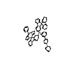 c1ccc(-c2ccc(-c3cccc(N(c4ccc5c(c4)C(c4ccccc4)(c4ccccc4)c4ccccc4-5)c4ccc5c(c4)C4(c6ccccc6-5)c5ccccc5N(c5ccccc5)c5ccccc54)c3)cc2)cc1